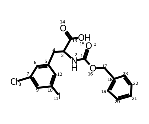 O=C(NC(Cc1cc(Cl)cc(I)c1)C(=O)O)OCc1ccccc1